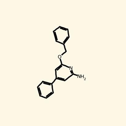 Nc1cc(-c2ccccc2)cc(OCc2ccccc2)n1